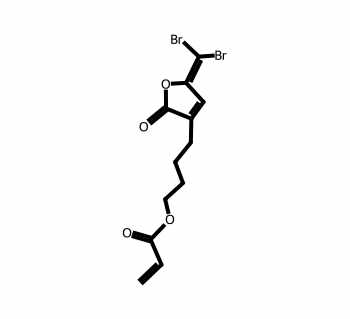 C=CC(=O)OCCCCC1=CC(=C(Br)Br)OC1=O